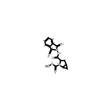 CC(C)(C)OC(=O)N1C(C(=O)ON2C(=O)c3ccccc3C2=O)CC2CC21